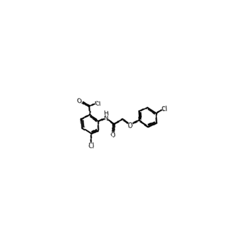 O=C(COc1ccc(Cl)cc1)Nc1cc(Cl)ccc1C(=O)Cl